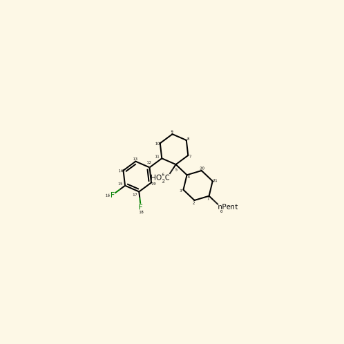 CCCCCC1CCC(C2(C(=O)O)CCCCC2c2ccc(F)c(F)c2)CC1